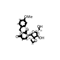 COc1ccc(Cn2c(=O)ccn(C3O[C@H](CO)[C@@H](O)[C@]34CCO4)c2=O)cc1